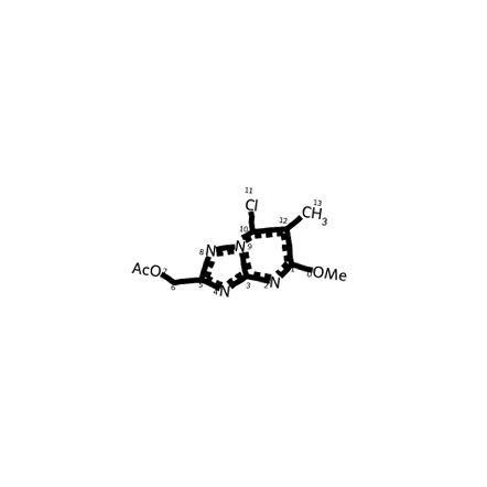 COc1nc2nc(COC(C)=O)nn2c(Cl)c1C